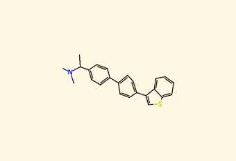 CC(c1ccc(-c2ccc(-c3csc4ccccc34)cc2)cc1)N(C)C